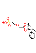 CC1(OC(=O)COCCS(=O)(=O)O)C2CC3CC(C2)CC1C3